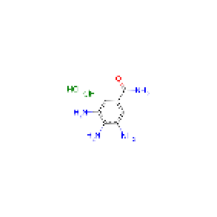 Cl.Cl.NC(=O)c1cc(N)c(N)c(N)c1